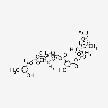 CC(=O)OCC(=O)OC(C)(C)CCC(C)(C)OC(=O)COC(=O)c1cc(O)cc(C(=O)OCC(=O)OC(C)(C)CCC(C)(C)OC(=O)COC(=O)c2cc(C)cc(O)c2)c1